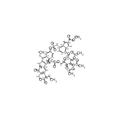 CCc1c2c(nc3ccc(OS(=O)(=O)Cc4ccc(O[C@@H]5O[C@H](COC(C)=O)[C@H](OC(C)=O)[C@H](OC(C)=O)[C@H]5OC(C)=O)c5cc(C(=O)OC)sc45)cc13)-c1cc3c(c(=O)n1C2)COC(=O)[C@@H]3CC